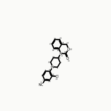 N#Cc1ccc(N2CCC(N3C(=O)OCc4ccccc43)CC2)c(Cl)c1